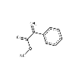 C=C(C(=O)OC#N)c1ccccc1